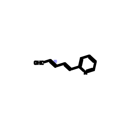 O=C/C=C/C=Cc1ccccn1